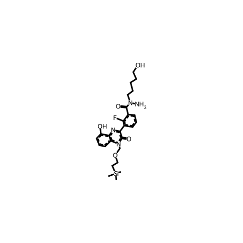 C[Si](C)(C)CCOCn1c(=O)c(-c2cccc(C(=O)N(N)CCCCCO)c2F)nc2c(O)cccc21